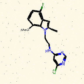 COc1ccc(F)c2cc(C)n(CCNc3cc(Cl)ncn3)c12